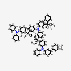 CC1(C)c2ccccc2-c2ccc(N(c3ccc4c(c3)C(C)(C)c3cc(N(c5ccccc5)c5ccccc5)ccc3-4)c3ccc4c(c3)C(C)(C)c3cc(N(c5ccccc5)c5cccc(-c6ccc7c(c6)CC7)c5)ccc3-4)cc21